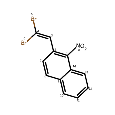 O=[N+]([O-])c1c(C=C(Br)Br)ccc2ccccc12